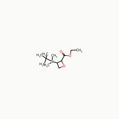 CCOC(=O)C1OCC1[Si](C)(C)C(C)(C)C